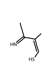 CC(=N)/C(C)=C\S